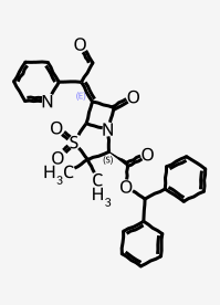 CC1(C)[C@H](C(=O)OC(c2ccccc2)c2ccccc2)N2C(=O)/C(=C(\C=O)c3ccccn3)C2S1(=O)=O